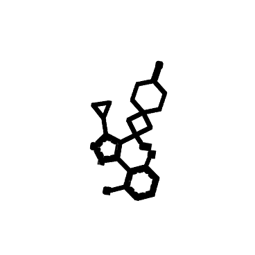 O=C1CCC2(CC1)CC(O)(c1c(-c3c(Cl)cccc3Cl)noc1C1CC1)C2